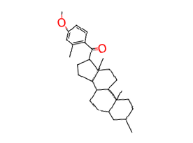 COc1ccc(C(=O)C2CCC3C4CCC5CC(C)CCC5(C)C4CCC23C)c(C)c1